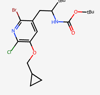 CC(C)(C)OC(=O)NC(Cc1cc(OCC2CC2)c(Cl)nc1Br)C(C)(C)C